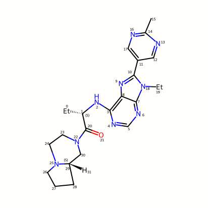 CC[C@H](Nc1ncnc2c1nc(-c1cnc(C)nc1)n2CC)C(=O)N1CCN2CCC[C@H]2C1